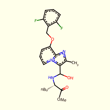 CCCC[C@H](NC(O)c1c(C)nc2c(OCc3c(F)cccc3F)cccn12)C(=O)OC